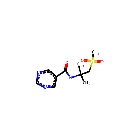 CC(C)(CS(C)(=O)=O)NC(=O)c1cncnc1